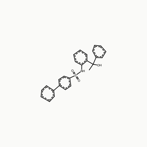 CC(O)(c1ccccc1)c1ccccc1NS(=O)(=O)c1ccc(-c2ccccc2)cc1